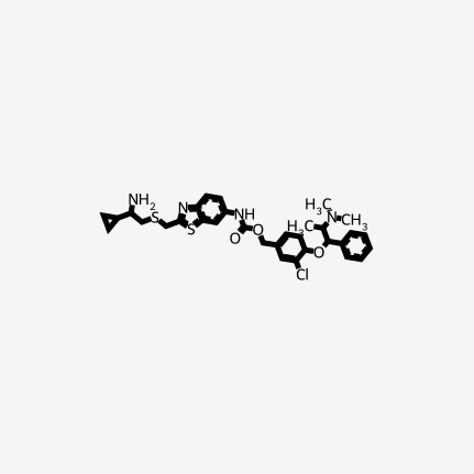 CC(C(OC1CC=C(COC(=O)Nc2ccc3nc(CSCC(N)C4CC4)sc3c2)C=C1Cl)c1ccccc1)N(C)C